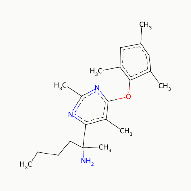 CCCCC(C)(N)c1nc(C)nc(Oc2c(C)cc(C)cc2C)c1C